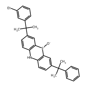 CCc1cccc(C(C)(C)c2ccc3c(c2)[S+]([O-])c2cc(C(C)(C)c4ccccc4)ccc2N3)c1